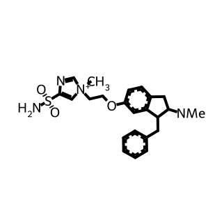 CNC1Cc2ccc(OCC[N+]3(C)C=NC(S(N)(=O)=O)=C3)cc2C1Cc1ccccc1